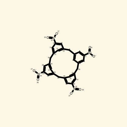 O=[N+]([O-])c1cc2cc(c1)Cc1cc(cc([N+](=O)[O-])c1)Cc1cc(cc([N+](=O)[O-])c1)Cc1cc(cc([N+](=O)[O-])c1)C2